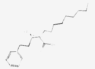 CCCCCCCCC[C@@H](C(N)=O)[C@H](O)CCc1ccccc1